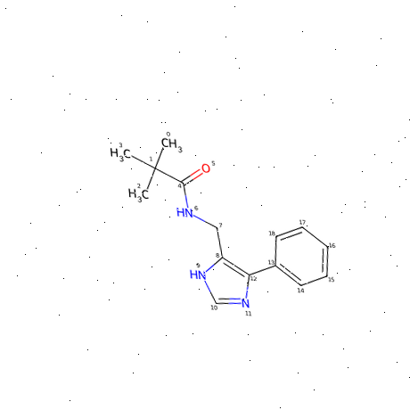 CC(C)(C)C(=O)NCc1[nH]cnc1-c1ccccc1